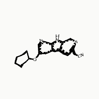 N#Cc1cc2c(cn1)[nH]c1ncc(OC3CCCC3)cc12